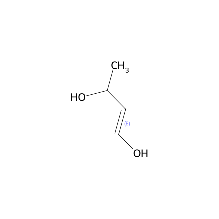 CC(O)/C=C/O